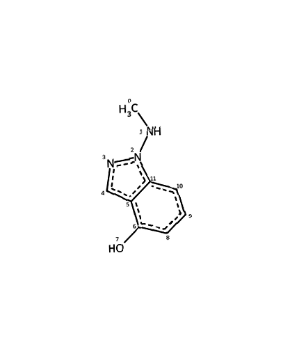 CNn1ncc2c(O)cccc21